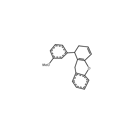 COc1cccc(C2CC=CC3=C2Cc2ccccc2O3)c1